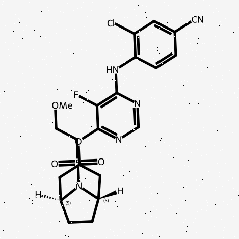 COCCS(=O)(=O)N1[C@H]2CC[C@H]1CC(Oc1ncnc(Nc3ccc(C#N)cc3Cl)c1F)C2